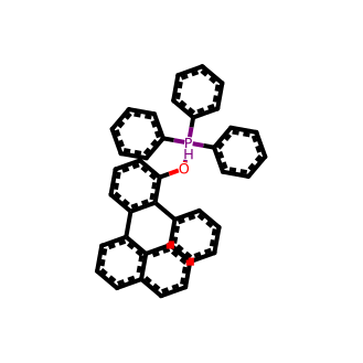 c1ccc(-c2c(O[PH](c3ccccc3)(c3ccccc3)c3ccccc3)cccc2-c2cccc3ccccc23)cc1